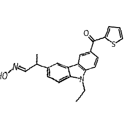 CCn1c2ccc(C(=O)c3cccs3)cc2c2cc(C(C)C=NO)ccc21